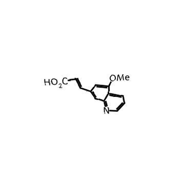 COc1cc(/C=C/C(=O)O)cc2ncccc12